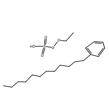 CCCCCCCCCCCCc1ccccc1.CCOOS(=O)(=O)O